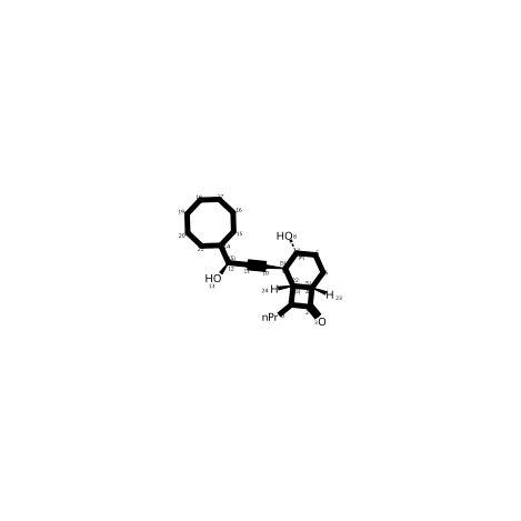 CCCC1C(=O)[C@H]2CC[C@@H](O)[C@H](C#C[C@@H](O)C3CCCCCCC3)[C@@H]12